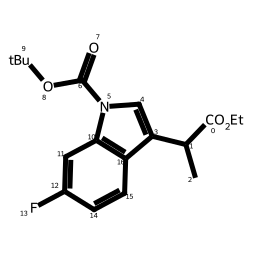 CCOC(=O)C(C)c1cn(C(=O)OC(C)(C)C)c2cc(F)ccc12